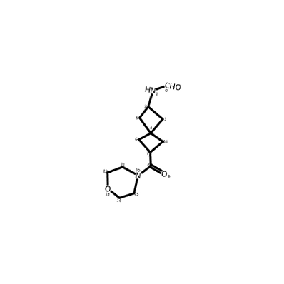 O=CNC1CC2(C1)CC(C(=O)N1CCOCC1)C2